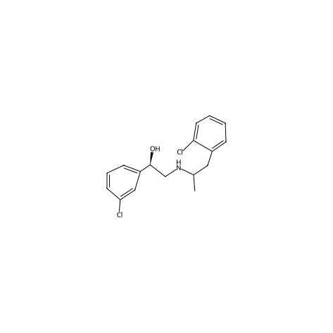 CC(Cc1ccccc1Cl)NC[C@H](O)c1cccc(Cl)c1